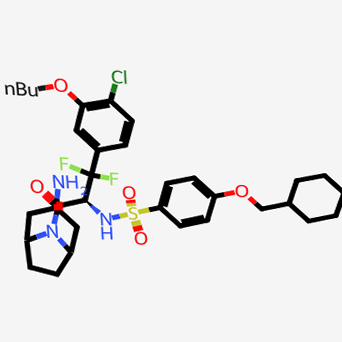 CCCCOc1cc(C(F)(F)[C@@H](NS(=O)(=O)c2ccc(OCC3CCCCC3)cc2)C(=O)N2C3CCC2CC(N)C3)ccc1Cl